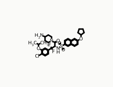 CC(C)Oc1cc(C(F)(F)[C@@H](NS(=O)(=O)c2ccc3cc(OC4CCCC4)ccc3c2)C(=O)N2CCC(N)CC2)ccc1Cl